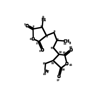 CCC1C(=O)OC(=O)C1CC(C)CC1C(=O)OC(=O)C1CC(C)C